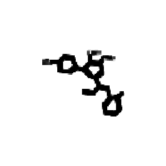 C=C/C(=C\c1ccccc1C)c1cc(OC)c(OC)c(-c2ccc(C(C)(C)C)cc2)c1